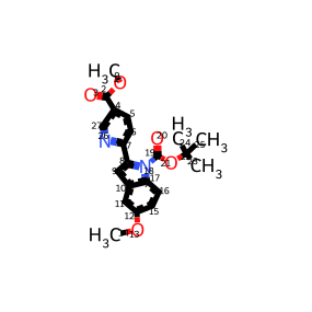 COC(=O)c1ccc(-c2cc3cc(OC)ccc3n2C(=O)OC(C)(C)C)nc1